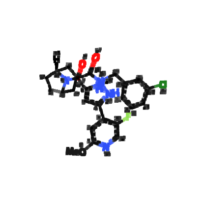 COc1cc(-c2cc(C(=O)N3C4CC[C@@H]3CC(C(=O)NCc3cccc(Cl)c3)C4)n[nH]2)c(F)cn1